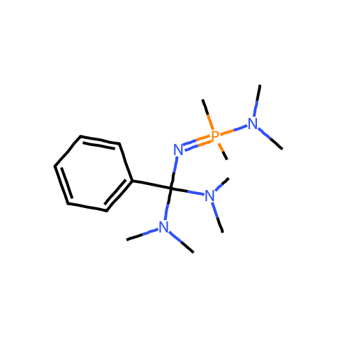 CN(C)C(N=P(C)(C)N(C)C)(c1ccccc1)N(C)C